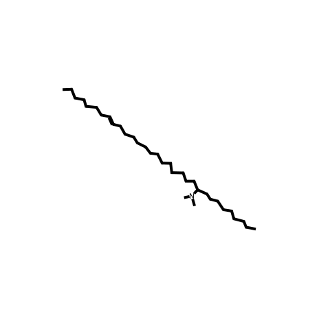 CCCCCCCC=CCCCCCCCCCCCCCC(CCCCCCCCC)N(C)C